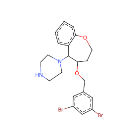 Brc1cc(Br)cc(COC2CCOc3ccccc3C2N2CCNCC2)c1